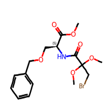 COC(=O)[C@H](COCc1ccccc1)NC(=O)C(CBr)(OC)OC